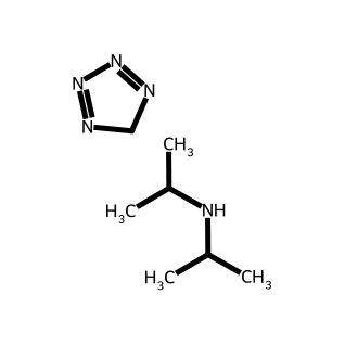 C1N=NN=N1.CC(C)NC(C)C